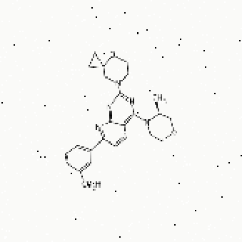 C[C@H]1COCCN1c1nc(N2CCOC3(CC3)C2)nc2nc(-c3cccc(C(=O)O)c3)ccc12